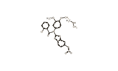 CNC.COc1ccc(N(C(=O)c2ccccc2Cl)c2nc3ccc(N=S(=O)=O)cc3s2)cc1OC